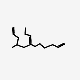 C=CCCCCC(=CCC)CC(C)CC=C